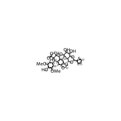 COc1cc(C2c3cc4c(cc3[C@@H](OC3OC5COC(c6cccs6)OC5C(O)C3O)[C@H]3COC(=O)[C@H]23)OCO4)cc(OC)c1O